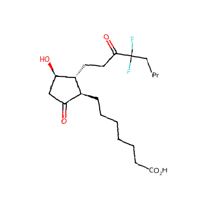 CC(C)CC(F)(F)C(=O)CC[C@H]1[C@H](O)CC(=O)[C@@H]1CCCCCCC(=O)O